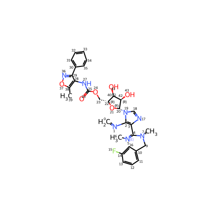 C=Nc1c(/C(=N\C)N(C)Cc2cccc(F)c2)ncn1[C@@H]1O[C@H](COC(=O)Nc2c(-c3ccccc3)noc2C)[C@@H](O)[C@H]1O